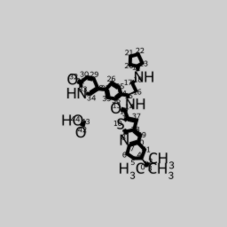 CC(C)(C)[C@H]1CCc2nc3sc(C(=O)N[C@H](CCNC4CCCC4)c4ccc(-c5ccc(=O)[nH]c5)cc4)cc3cc2C1.O=CO